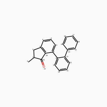 CC1Cc2cccc(-c3ccccc3-c3ccccc3)c2C1=O